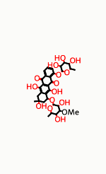 COC1C(O)C(C)OC(OC2CC(C)(O)Cc3c(O)c4c(c(O)c32)C(=O)c2c(OC3OC(C)C(O)C(O)C3O)cccc2C4=O)C1O